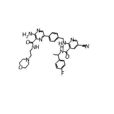 CC(NC(=O)c1cc(C#N)cnc1NCc1ccc(-c2cnc(N)c(C(=O)NCCN3CCOCC3)n2)cc1)c1ccc(F)cc1